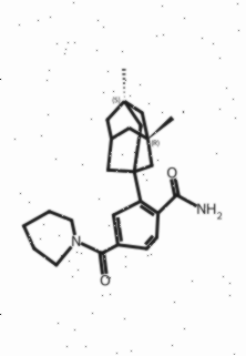 C[C@]12CC3CC(c4cc(C(=O)N5CCCCC5)ccc4C(N)=O)(C1)C[C@@](C)(C3)C2